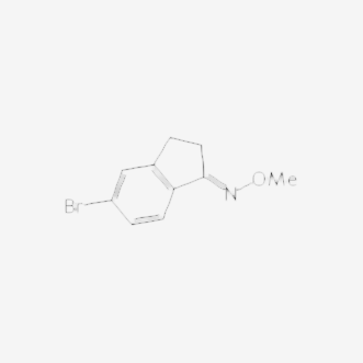 CON=C1CCc2cc(Br)ccc21